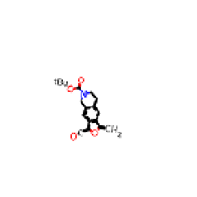 C=c1oc(=C=O)c2cc3c(cc12)CCN(C(=O)OC(C)(C)C)C3